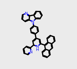 C1=C(c2ccc(-n3c4ccccc4c4ncccc43)cc2)C=C(c2c3ccccc3cc3ccccc23)NC1c1ccccn1